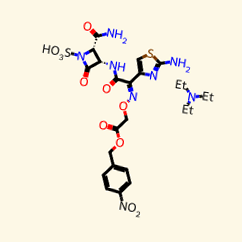 CCN(CC)CC.NC(=O)[C@@H]1[C@H](NC(=O)C(=NOCC(=O)OCc2ccc([N+](=O)[O-])cc2)c2csc(N)n2)C(=O)N1S(=O)(=O)O